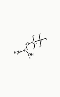 CC(C)(C)[Si](C)(C)OP(N)O